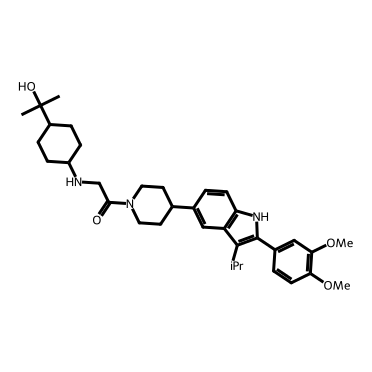 COc1ccc(-c2[nH]c3ccc(C4CCN(C(=O)CNC5CCC(C(C)(C)O)CC5)CC4)cc3c2C(C)C)cc1OC